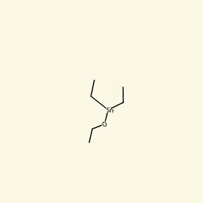 CC[O][Sn]([CH2]C)[CH2]C